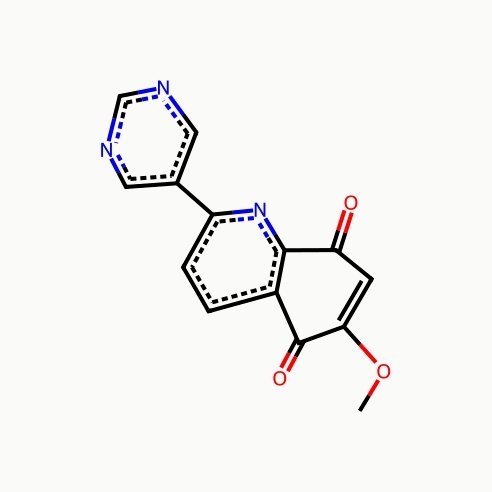 COC1=CC(=O)c2nc(-c3cncnc3)ccc2C1=O